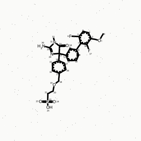 COc1ccc(F)c(-c2cccc(C3(c4ccc(COCCS(=O)(=O)O)cc4)N=C(N)N(C)C3=O)c2)c1F